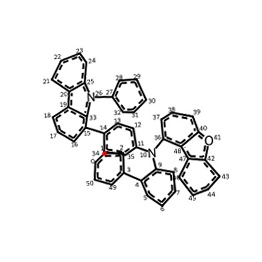 c1ccc(-c2ccccc2N(c2ccc(-c3cccc4c5ccccc5n(-c5ccccc5)c34)cc2)c2cccc3oc4ccccc4c23)cc1